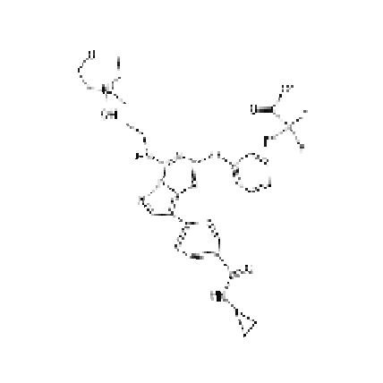 O=C(NC1CC1)c1ccc(-c2cnn3c(NCCC[N+]4(O)CCOCC4)nc(Oc4ccccc4)nc23)cc1.O=C([O-])C(F)(F)F